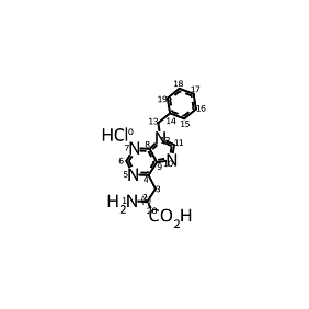 Cl.N[C@@H](Cc1ncnc2c1ncn2Cc1ccccc1)C(=O)O